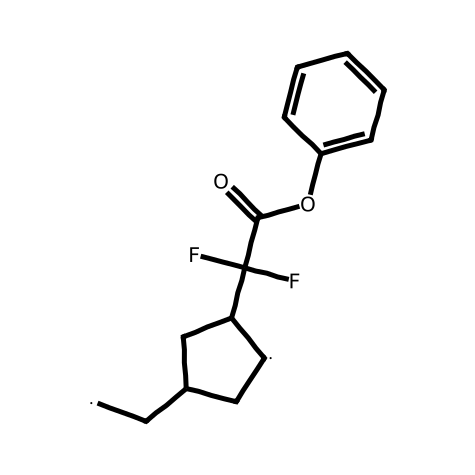 [CH2]CC1C[CH]C(C(F)(F)C(=O)Oc2ccccc2)C1